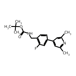 Cc1cc(-c2ccc(CNC(=O)OC(C)(C)C)c(F)c2)cc(C)n1